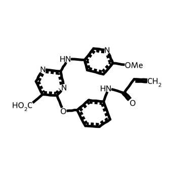 C=CC(=O)Nc1cccc(Oc2nc(Nc3ccc(OC)nc3)ncc2C(=O)O)c1